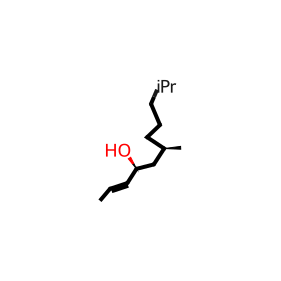 C/C=C/[C@@H](O)C[C@H](C)CCCC(C)C